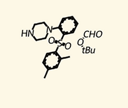 CC(C)(C)OC=O.Cc1ccc(S(=O)(=O)c2ccccc2N2CCNCC2)c(C)c1